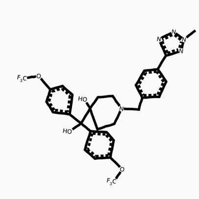 Cn1nnc(-c2ccc(CN3CCC(O)(C(O)(c4ccc(OC(F)(F)F)cc4)c4ccc(OC(F)(F)F)cc4)CC3)cc2)n1